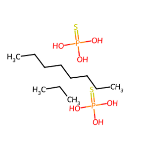 CCC.CCCCCCCC.OP(O)(O)=S.OP(O)(O)=S